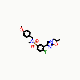 COc1ccc(CN(C)S(=O)(=O)c2ccc(F)c(-c3cn4c(n3)OC(C)C4)c2)cc1